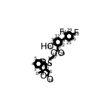 CC1(c2ccccc2)OC(=O)C=C1C(=O)SCCOC(=O)c1cc(-c2ccc(F)cc2F)ccc1O